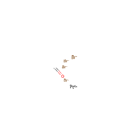 [Br-].[Br-].[Br-].[Br-].[C]=O.[Pt+4]